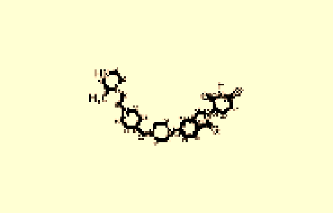 CC1CNCCN1CCN1CCC(CN2CCN(c3ccc4c(c3)CN(C3CCC(=O)NC3=O)C4=O)CC2)CC1